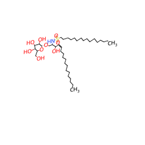 CCCCCCCCCCCCC/C=C\C(O)C(CO[C@@H]1OC(CO)[C@@H](O)C(O)C1O)NS(=O)(=O)CCCCCCCCCCCCCCCC